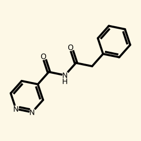 O=C(Cc1ccccc1)NC(=O)c1ccnnc1